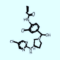 C=CC(=O)Nc1ccc(C(O)N2CC[C@@H](Nc3ncc(Cl)cn3)C2)cc1Cl